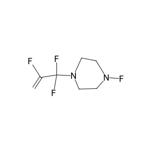 C=C(F)C(F)(F)N1CCN(F)CC1